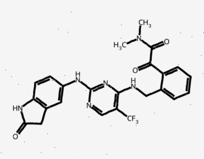 CN(C)C(=O)C(=O)c1ccccc1CNc1nc(Nc2ccc3c(c2)CC(=O)N3)ncc1C(F)(F)F